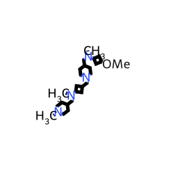 COC1CC(N(C)CC2CCN(CC3CC(N(C)CC4CCN(C)CC4)C3)CC2)C1